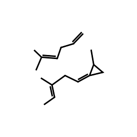 C=CCC=C(C)C.CC=C(C)CC=C1CC1C